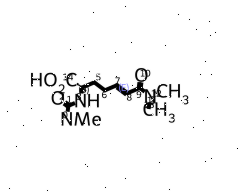 CNC(=O)N[C@@H](CC/C=C/C(=O)N(C)C)C(=O)O